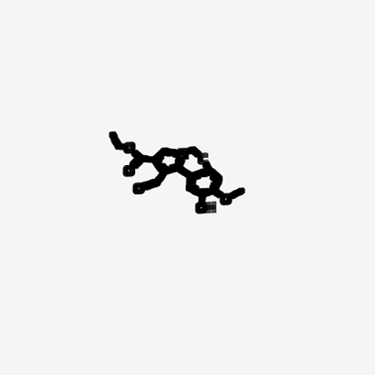 CCOC(=O)c1cn2c(c1C=O)-c1cc(O)c(OC)cc1CC2